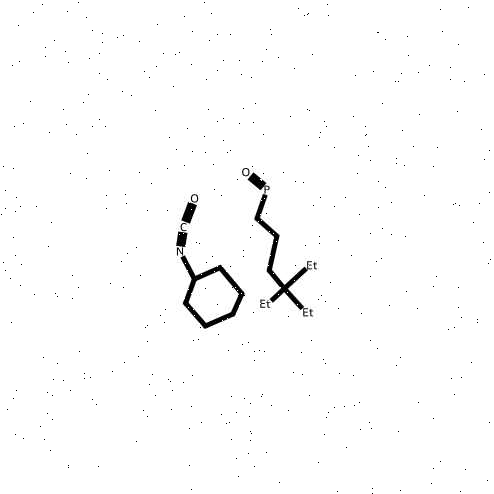 CCC(CC)(CC)CCCP=O.O=C=NC1CCCCC1